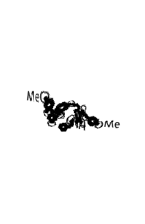 COc1ccc(COC(=O)C2=C(/C=C\COc3ccc4c(-c5ccc(OC)cc5C)c5ccc(=O)cc-5oc4c3)CSC3C(NC(=O)Cc4ccccc4)C(=O)N23)cc1